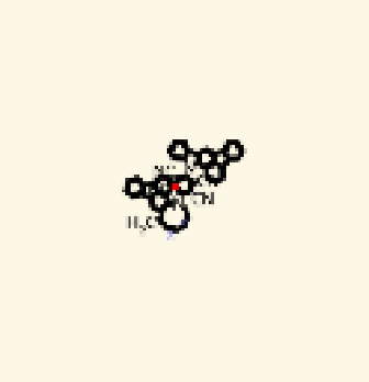 C=C1/C=C\C=C/CN(c2c(C#N)c(C#N)c(-n3c4ccccc4c4cc5c6c(cccc6c43)-c3ccccc3-5)c(C#N)c2C#N)c2c1cc1c3c(cccc23)-c2ccccc2-1